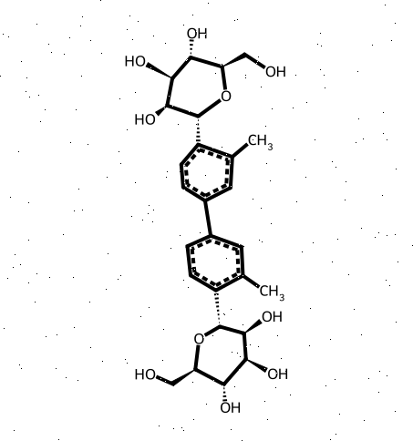 Cc1cc(-c2ccc([C@H]3O[C@H](CO)[C@@H](O)[C@H](O)[C@@H]3O)c(C)c2)ccc1[C@H]1O[C@H](CO)[C@@H](O)[C@H](O)[C@@H]1O